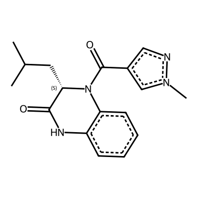 CC(C)C[C@H]1C(=O)Nc2ccccc2N1C(=O)c1cnn(C)c1